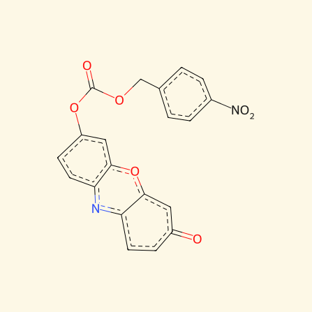 O=C(OCc1ccc([N+](=O)[O-])cc1)Oc1ccc2nc3ccc(=O)cc-3oc2c1